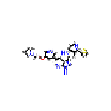 c1csc(-c2nccc3[nH]c(-c4n[nH]c5ncc(-c6cncc(OCCN7CCCC7)c6)cc45)cc23)c1